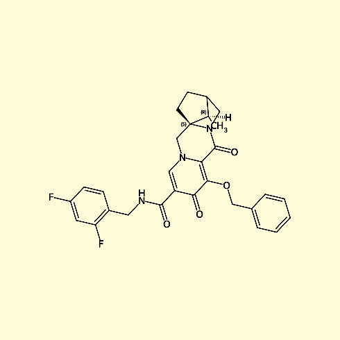 C[C@@H]1C2CC[C@@]13Cn1cc(C(=O)NCc4ccc(F)cc4F)c(=O)c(OCc4ccccc4)c1C(=O)N3C2